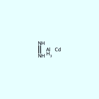 N=N.[AlH3].[Cd]